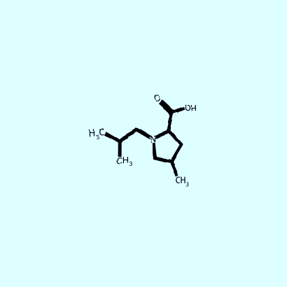 CC(C)CN1CC(C)CC1C(=O)O